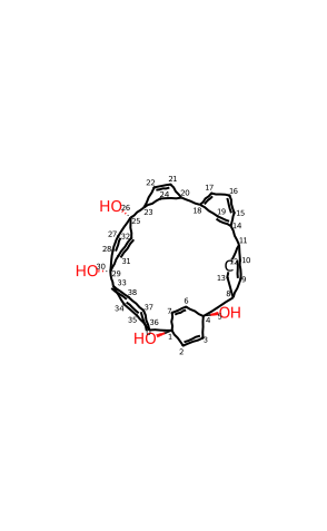 O[C@]12C=C[C@](O)(C=C1)C1C=CC(CC1)c1cccc(c1)C1C=CC(C1)[C@]1(O)C=C[C@@](O)(C=C1)c1ccc2cc1